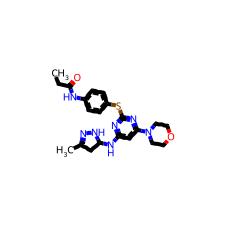 CCC(=O)Nc1ccc(Sc2nc(NC3CC(C)=NN3)cc(N3CCOCC3)n2)cc1